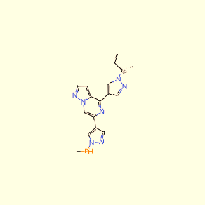 CC[C@H](C)n1cc(-c2nc(-c3cnn(PC)c3)cn3nccc23)cn1